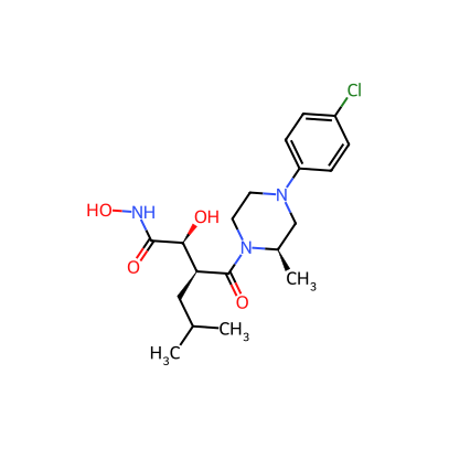 CC(C)C[C@H](C(=O)N1CCN(c2ccc(Cl)cc2)C[C@H]1C)[C@H](O)C(=O)NO